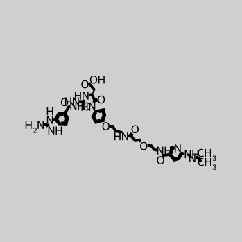 CC(C)=NNc1ccc(C(=O)NCCOCCC(=O)NCCCOc2ccc(NC(=O)[C@H](CC(=O)O)NC(=O)NNC(=O)c3cccc(NC(=N)N)c3)cc2)cn1